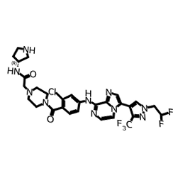 O=C(CN1CCN(C(=O)c2ccc(Nc3nccn4c(-c5cn(CC(F)F)nc5C(F)(F)F)cnc34)cc2Cl)CC1)N[C@@H]1CCNC1